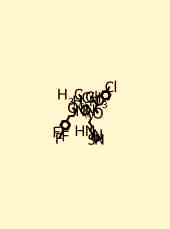 CC(C)C[C@@H]1CN(C(=O)C(N)Cc2ccc(Cl)cc2Cl)[C@@H](CCCNc2nncs2)CN1C(=O)CCc1ccc(C(F)(F)F)cc1